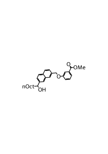 CCCCCCCCC(O)c1ccc2ccc(COc3cccc(C(=O)OC)c3)cc2c1